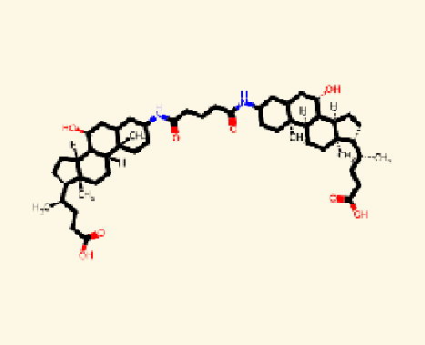 C[C@H](CCC(=O)O)[C@H]1CC[C@@H]2C3[C@@H](CC[C@@]21C)[C@@]1(C)CCC(NC(=O)CCCC(=O)NC2CC[C@@]4(C)C(C2)C[C@H](O)C2[C@H]5CC[C@H]([C@H](C)CCC(=O)O)[C@@]5(C)CC[C@H]24)CC1C[C@@H]3O